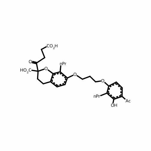 CCCc1c(OCCCOc2ccc3c(c2CCC)OC(C(=O)O)(C(=O)CCC(=O)O)CC3)ccc(C(C)=O)c1O